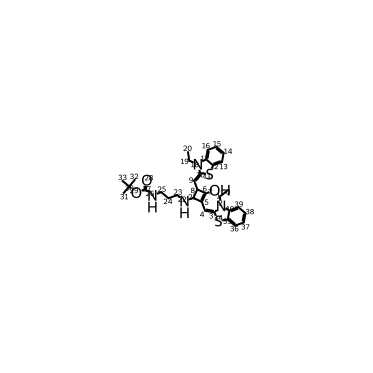 CCN1C(=CC2=C(O)C(C=C3Sc4ccccc4N3CC)C2NCCCNC(=O)OC(C)(C)C)Sc2ccccc21